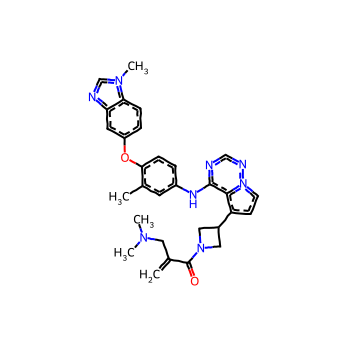 C=C(CN(C)C)C(=O)N1CC(c2ccn3ncnc(Nc4ccc(Oc5ccc6c(c5)ncn6C)c(C)c4)c23)C1